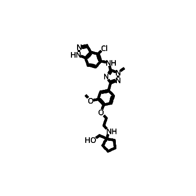 COc1cc(-c2nc(Nc3ccc4[nH]ncc4c3Cl)n(C)n2)ccc1OCCNC1(CO)CCCC1